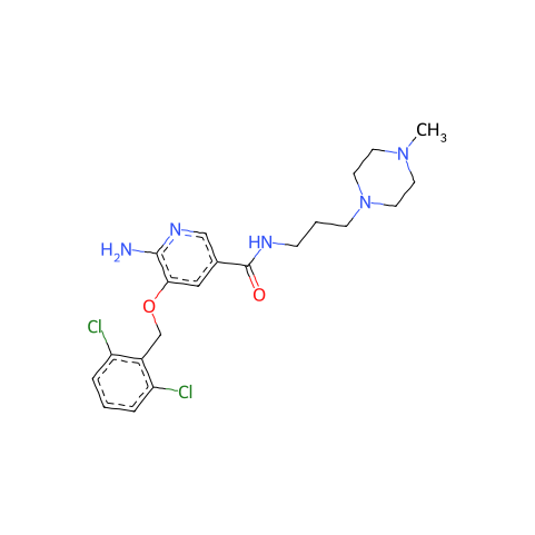 CN1CCN(CCCNC(=O)c2cnc(N)c(OCc3c(Cl)cccc3Cl)c2)CC1